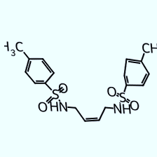 Cc1ccc(S(=O)(=O)NC/C=C\CNS(=O)(=O)c2ccc(C)cc2)cc1